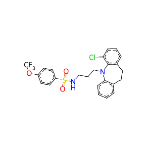 O=S(=O)(NCCCN1c2ccccc2CCc2cccc(Cl)c21)c1ccc(OC(F)(F)F)cc1